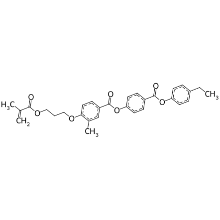 C=C(C)C(=O)OCCCOc1ccc(C(=O)Oc2ccc(C(=O)Oc3ccc(CC)cc3)cc2)cc1C